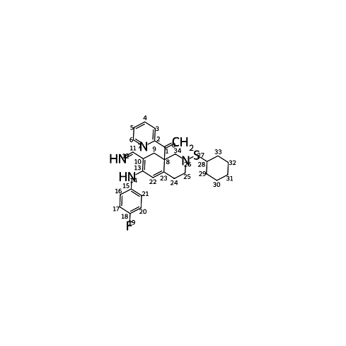 C=C(c1ccccn1)C12CC(C=N)=C(Nc3ccc(F)cc3)C=C1CCN(SC1CCCCC1)C2